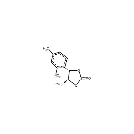 CCOC(=O)[C@@H]1OS(=O)O[C@H]1c1ccc(C)cc1[N+](=O)[O-]